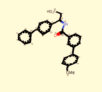 COc1ccc(-c2cccc(C(=O)NC(CC(=O)O)c3ccc(-c4ccccc4)cc3)c2)cc1